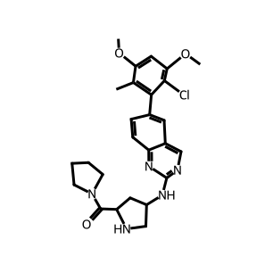 COc1cc(OC)c(Cl)c(-c2ccc3nc(NC4CNC(C(=O)N5CCCC5)C4)ncc3c2)c1C